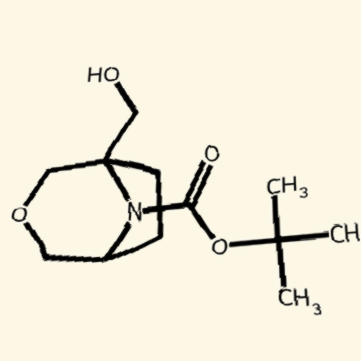 CC(C)(C)OC(=O)N1C2CCC1(CO)COC2